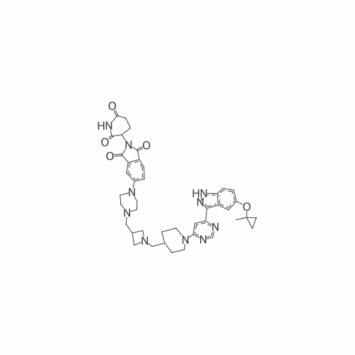 CC1(Oc2ccc3[nH]nc(-c4cc(N5CCC(CN6CC(CN7CCN(c8ccc9c(c8)C(=O)N(C8CCC(=O)NC8=O)C9=O)CC7)C6)CC5)ncn4)c3c2)CC1